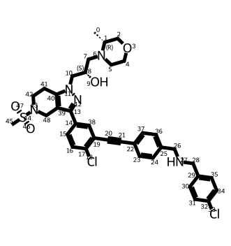 C[C@@H]1COCCN1C[C@H](O)Cn1nc(-c2ccc(Cl)c(C#Cc3ccc(CNCc4ccc(Cl)cc4)cc3)c2)c2c1CCN(S(C)(=O)=O)C2